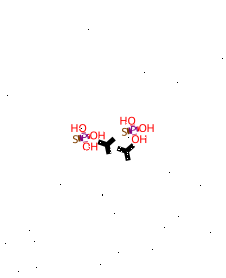 CC(C)C.CC(C)C.OP(O)(O)=S.OP(O)(O)=S